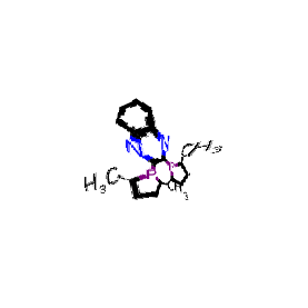 C[C@H]1CCCP1c1nc2ccccc2nc1P1[C@@H](C)CC[C@@H]1C